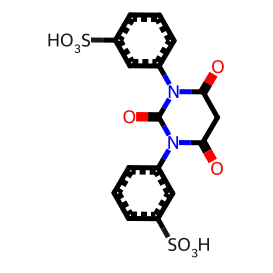 O=C1CC(=O)N(c2cccc(S(=O)(=O)O)c2)C(=O)N1c1cccc(S(=O)(=O)O)c1